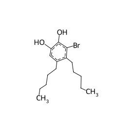 CCCCCc1cc(O)c(O)c(Br)c1CCCCC